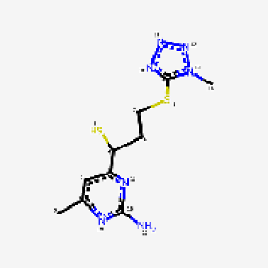 Cc1cc(C(S)CCSc2nnnn2C)nc(N)n1